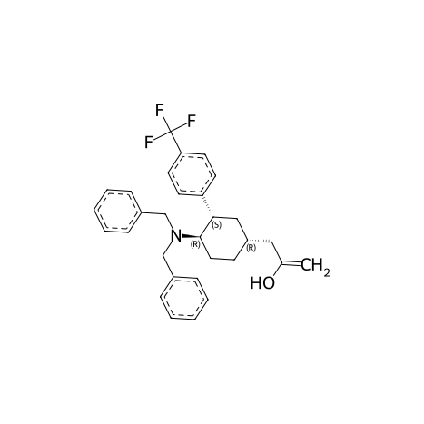 C=C(O)C[C@@H]1CC[C@@H](N(Cc2ccccc2)Cc2ccccc2)[C@H](c2ccc(C(F)(F)F)cc2)C1